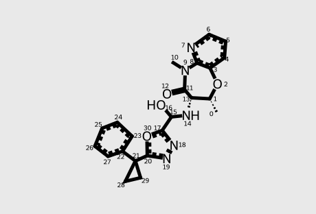 C[C@H]1Oc2cccnc2N(C)C(=O)[C@H]1NC(O)c1nnc(C2(c3ccccc3)CC2)o1